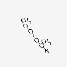 CCC1CCC(c2ccc(CCc3ccc(-c4ccc(C#N)cc4C)cc3)cc2)CC1